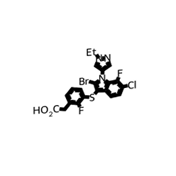 CCn1cc(-n2c(Br)c(Sc3cccc(CC(=O)O)c3F)c3ccc(Cl)c(F)c32)cn1